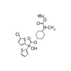 CN(C(=O)OC(C)(C)C)[C@H]1CC[C@H](OC(=O)[C@@](O)(c2cccs2)c2ccc(Cl)s2)CC1